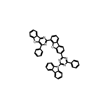 c1ccc(-c2nc(-c3ccc4c(c3)oc3c(-c5nc(-c6ccccc6)c6oc7ccccc7c6n5)cccc34)nc(-n3c4ccccc4c4ccccc43)n2)cc1